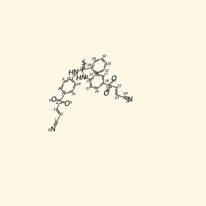 N#C/C=C/S(=O)(=O)c1ccc(NP(=S)(Nc2ccc(S(=O)(=O)/C=C/C#N)cc2)c2ccccc2)cc1